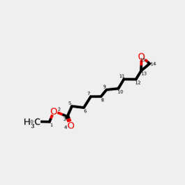 CCOC(=O)CCCCCCCCC1CO1